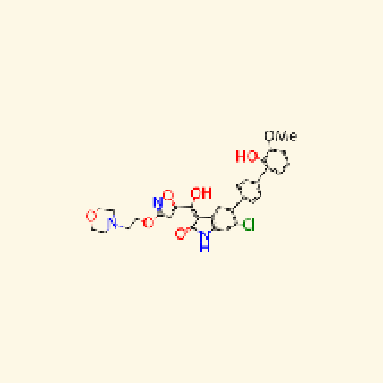 COc1cccc(-c2ccc(-c3cc4c(cc3Cl)NC(=O)/C4=C(/O)c3cc(OCCN4CCOCC4)no3)cc2)c1O